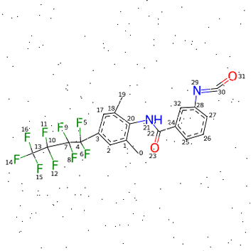 Cc1cc(C(F)(F)C(F)(F)C(F)(F)C(F)(F)F)cc(C)c1NC(=O)c1cccc(N=C=O)c1